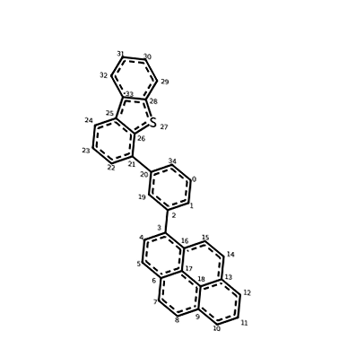 c1cc(-c2ccc3ccc4cccc5ccc2c3c45)cc(-c2cccc3c2sc2ccccc23)c1